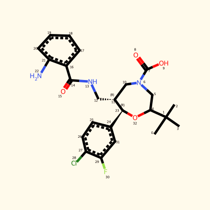 CC(C)(C)C1CN(C(=O)O)C[C@@H](CNC(=O)c2ccccc2N)[C@H](c2ccc(Cl)c(F)c2)O1